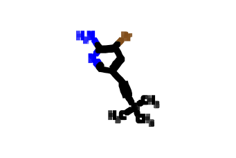 C[Si](C)(C)C#Cc1cnc(N)c(Br)c1